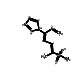 C=N/C(=C\C=C(/C)S(N)(=O)=O)n1ccnn1